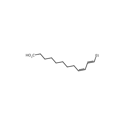 CCC=C/C=C\CCCCCCCC(=O)O